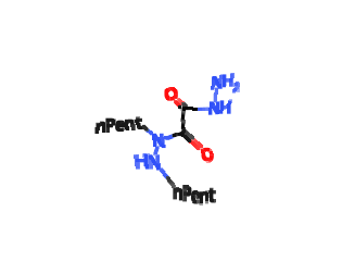 CCCCCNN(CCCCC)C(=O)C(=O)NN